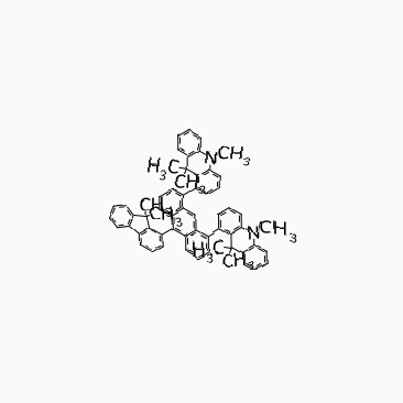 CN1c2ccccc2C(C)(C)c2c(-c3cccc4c(-c5cccc6c5C(C)(C)c5ccccc5-6)c5cccc(-c6cccc7c6C(C)(C)c6ccccc6N7C)c5cc34)cccc21